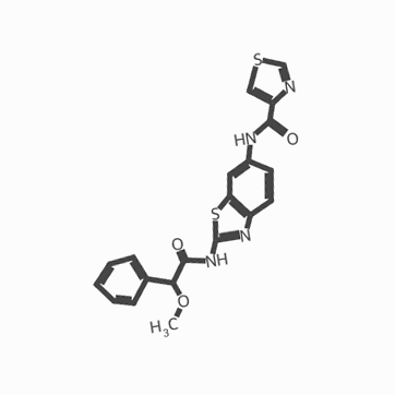 COC(C(=O)Nc1nc2ccc(NC(=O)c3cscn3)cc2s1)c1ccccc1